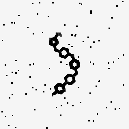 Nc1ncc(CN2CCC(Oc3ccc(CN4CCN(c5ccc(F)cn5)CC4)cc3)CC2)s1